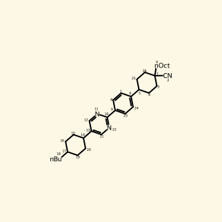 CCCCCCCCC1(C#N)CCC(c2ccc(-c3ncc(C4CCC(CCCC)CC4)cn3)cc2)CC1